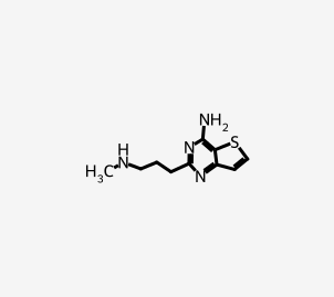 CNCCCc1nc(N)c2sccc2n1